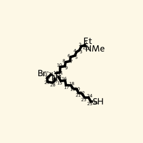 CCC(CCCCCCCCCCC[N+]1(CCCCCCCCCCCCS)CCCCC1)NC.[Br-]